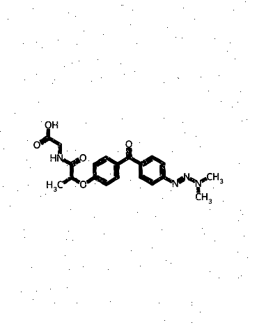 CC(Oc1ccc(C(=O)c2ccc(/N=N/N(C)C)cc2)cc1)C(=O)NCC(=O)O